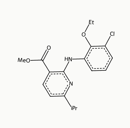 CCOc1c(Cl)cccc1Nc1nc(C(C)C)ccc1C(=O)OC